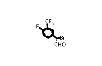 O=C[C@@H](Br)c1ccc(F)c(C(F)(F)F)c1